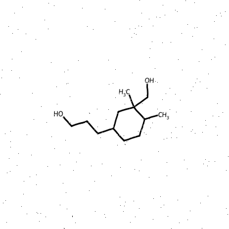 CC1CCC(CCCO)CC1(C)CO